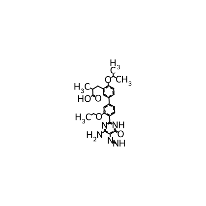 CCOc1cc(-c2ccc(OC(C)C)c(CC(C)C(=O)O)c2)ccc1-c1nc(N)c(N=N)c(=O)[nH]1